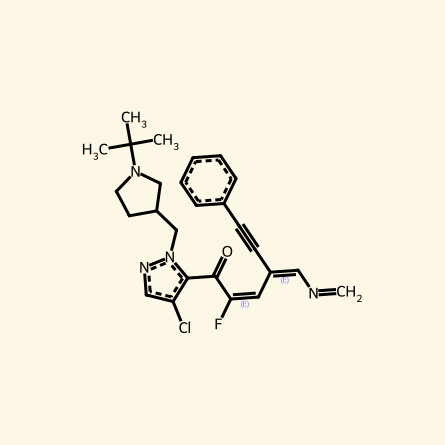 C=N/C=C(C#Cc1ccccc1)\C=C(\F)C(=O)c1c(Cl)cnn1CC1CCN(C(C)(C)C)C1